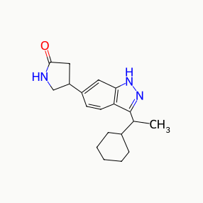 CC(c1n[nH]c2cc(C3CNC(=O)C3)ccc12)C1CCCCC1